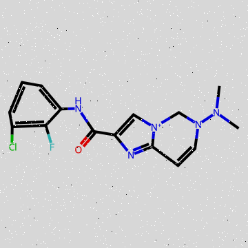 CN(C)N1C=CC2=NC(C(=O)Nc3cccc(Cl)c3F)=C[N+]2C1